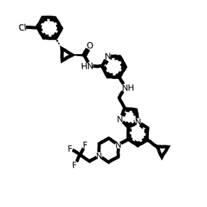 O=C(Nc1cc(NCc2cn3cc(C4CC4)cc(N4CCN(CC(F)(F)F)CC4)c3n2)ccn1)[C@H]1C[C@@H]1c1cccc(Cl)c1